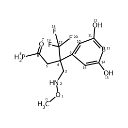 CONCC(CC(=O)P)(c1cc(O)bc(O)c1)C(F)(F)F